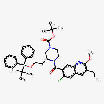 CCc1cc2cc(F)c(C(=O)N3CCN(C(=O)OC(C)(C)C)C[C@@H]3CCO[Si](c3ccccc3)(c3ccccc3)C(C)(C)C)cc2nc1OC